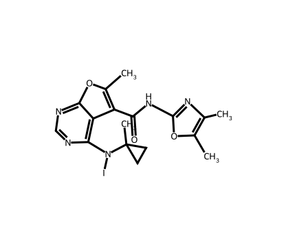 Cc1nc(NC(=O)c2c(C)oc3ncnc(N(I)C4(C)CC4)c23)oc1C